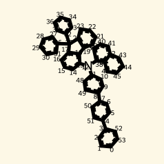 c1ccc(-c2ccc(-c3ccc(N(c4cccc5c4-c4ccccc4C5(c4ccccc4)c4ccccc4)c4cccc5ccccc45)cc3)cc2)cc1